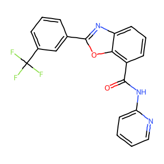 O=C(Nc1ccccn1)c1cccc2nc(-c3cccc(C(F)(F)F)c3)oc12